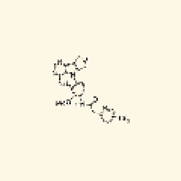 COc1cc(-n2c3c(c4ncnc(N)c42)COC3)ccc1NC(=O)Cc1ccc(C(F)(F)F)nn1